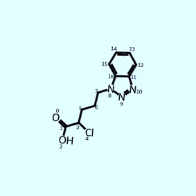 O=C(O)C(Cl)CCCn1nnc2ccccc21